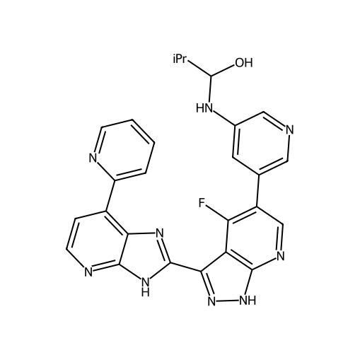 CC(C)C(O)Nc1cncc(-c2cnc3[nH]nc(-c4nc5c(-c6ccccn6)ccnc5[nH]4)c3c2F)c1